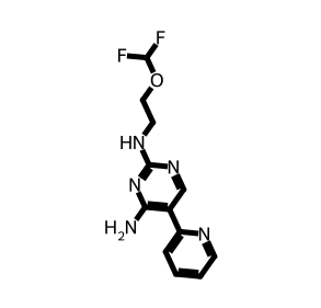 Nc1nc(NCCOC(F)F)ncc1-c1ccccn1